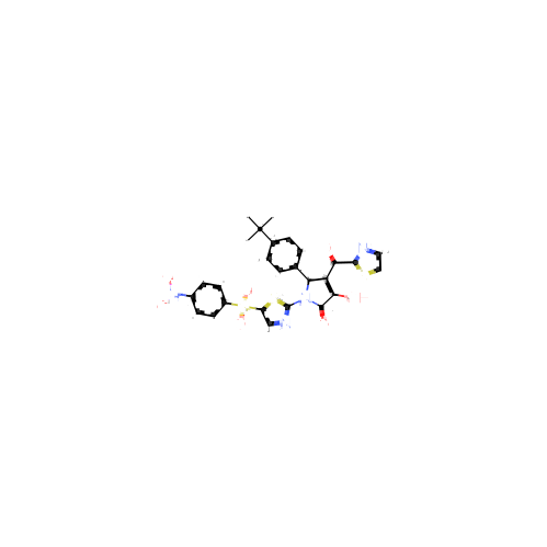 CC(C)(C)c1ccc(C2C(C(=O)c3nccs3)=C(O)C(=O)N2c2ncc(S(=O)(=O)c3ccc([N+](=O)[O-])cc3)s2)cc1